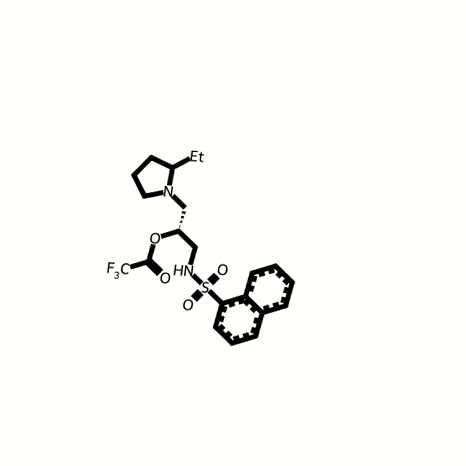 CCC1CCCN1C[C@H](CNS(=O)(=O)c1cccc2ccccc12)OC(=O)C(F)(F)F